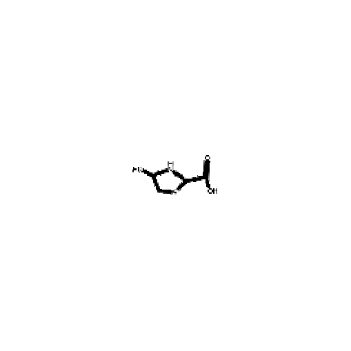 O=C(O)C1NC(O)CS1